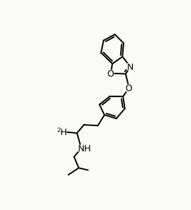 [2H]C(CCc1ccc(Oc2nc3ccccc3o2)cc1)NCC(C)C